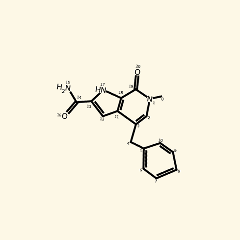 Cn1cc(Cc2ccccc2)c2cc(C(N)=O)[nH]c2c1=O